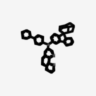 c1ccc(-c2ccc(N(c3ccc4c(c3)-c3ccccc3C43C4CC5CC(C4)CC3C5)c3cnc4c(ccc5cccnc54)c3)cc2)cc1